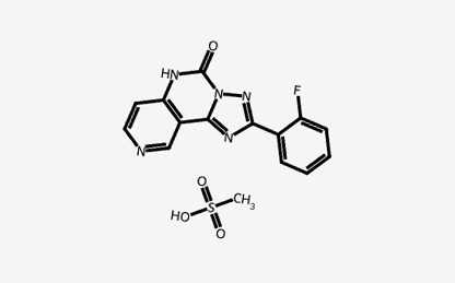 CS(=O)(=O)O.O=c1[nH]c2ccncc2c2nc(-c3ccccc3F)nn12